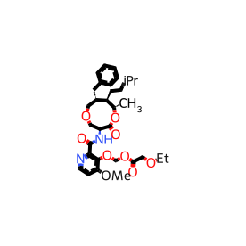 CCOCC(=O)OCOc1c(OC)ccnc1C(=O)N[C@H]1COC[C@H](Cc2ccccc2)[C@@H](CCC(C)C)[C@H](C)OC1=O